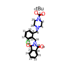 CC(C)(C)OC(=O)N1CCN(Cc2cccc(Cl)c2CN2C(=O)c3ccccc3C2=O)CC1